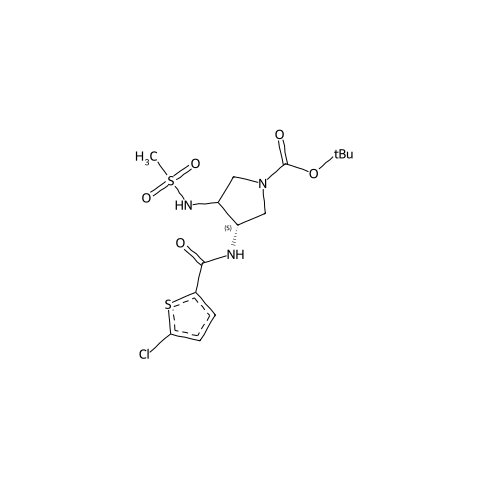 CC(C)(C)OC(=O)N1CC(NS(C)(=O)=O)[C@@H](NC(=O)c2ccc(Cl)s2)C1